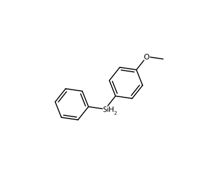 COc1ccc([SiH2]c2ccccc2)cc1